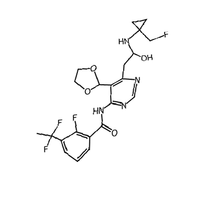 CC(F)(F)c1cccc(C(=O)Nc2ncnc(CC(O)NC3(CF)CC3)c2C2OCCO2)c1F